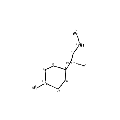 CCCN1CCC([C@@H](C)CNC(C)C)CC1